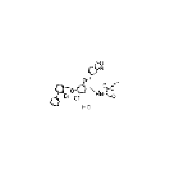 CCOC(=O)C(CO)NCCCc1cc(Cl)c(OCc2cccc(-c3ccccc3)c2Br)cc1OCc1ccc2nonc2c1.Cl